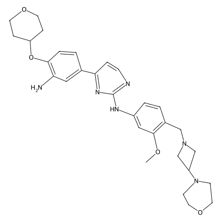 COc1cc(Nc2nccc(-c3ccc(OC4CCOCC4)c(N)c3)n2)ccc1CN1CC(N2CCOCC2)C1